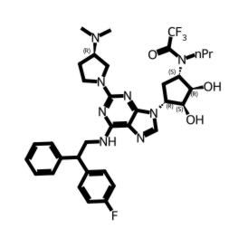 CCCN(C(=O)C(F)(F)F)[C@H]1C[C@@H](n2cnc3c(NCC(c4ccccc4)c4ccc(F)cc4)nc(N4CC[C@@H](N(C)C)C4)nc32)[C@H](O)[C@@H]1O